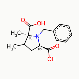 CC1C[C@H](C(=O)O)N(Cc2ccccc2)[C@]1(C)C(=O)O